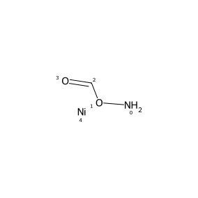 NOC=O.[Ni]